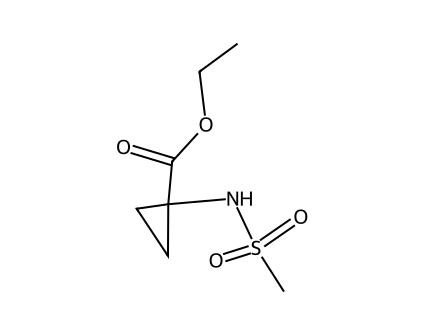 CCOC(=O)C1(NS(C)(=O)=O)CC1